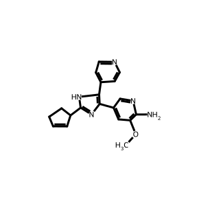 COc1cc(-c2nc(C3C=CCC3)[nH]c2-c2ccncc2)cnc1N